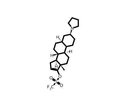 C[C@]12CC[C@@H]3C4CC[C@H](N5CCCC5)C[C@@H]4CC[C@H]3[C@@H]1CC=C2OS(=O)(=O)C(F)(F)F